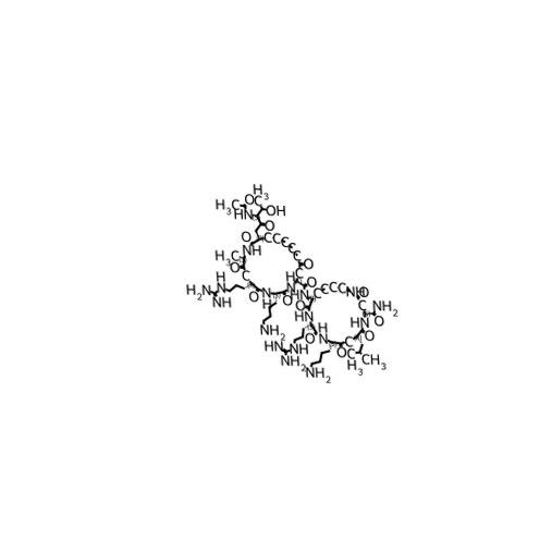 CC(=O)N[C@H](C(=O)C[C@H]1CCCCCC(=O)C[C@@H](C(=O)N[C@H]2CCCCNC(=O)C[C@@H](C(N)=O)NC(=O)[C@H](CC(C)C)CC(=O)[C@H](CCCCN)NC(=O)[C@H](CCCNC(=N)N)NC2=O)NC(=O)[C@H](CCCCN)NC(=O)[C@H](CCCNC(=N)N)CC(=O)[C@H](C)NC1=O)C(C)O